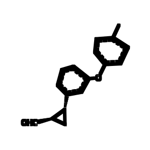 Cc1ccc(Oc2cccc([C@@H]3C[C@H]3C=O)c2)cc1